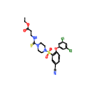 CCOC(=O)CCNC(=S)N1CCN(S(=O)(=O)c2cc(C#N)ccc2Oc2cc(Cl)cc(Cl)c2)CC1